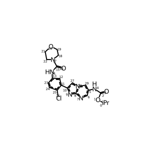 CC(C)OC(=O)Nc1cnc2nc(-c3cc(NC(=O)N4CCOCC4)ccc3Cl)cn2c1